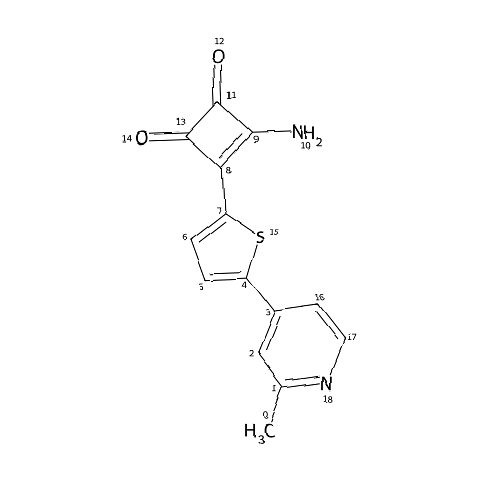 Cc1cc(-c2ccc(-c3c(N)c(=O)c3=O)s2)ccn1